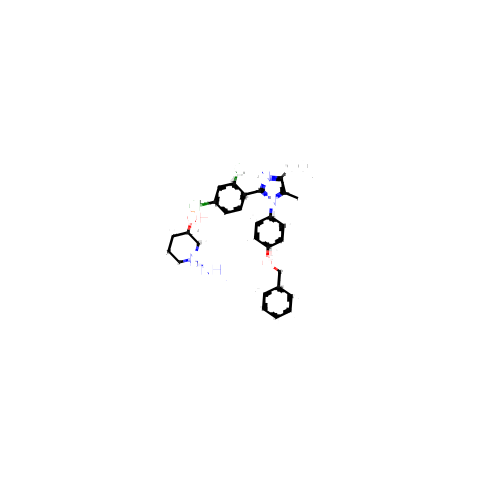 Cc1c(C(=O)O)nc(-c2ccc(Cl)cc2Cl)n1-c1ccc(OCc2ccccc2)cc1.NN1CCCC(O)C1